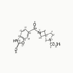 O=C(O)N1CCC2(C1)CN(C(=O)c1ccc3[nH]c(=O)oc3c1)C2